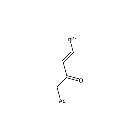 CCCC=CC(=O)CC(C)=O